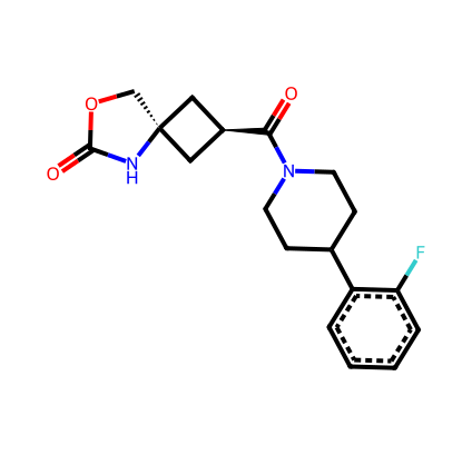 O=C1N[C@]2(CO1)C[C@H](C(=O)N1CCC(c3ccccc3F)CC1)C2